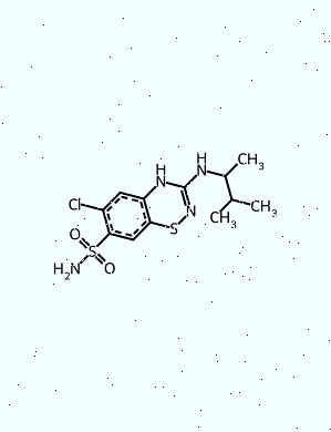 CC(C)C(C)NC1=NSc2cc(S(N)(=O)=O)c(Cl)cc2N1